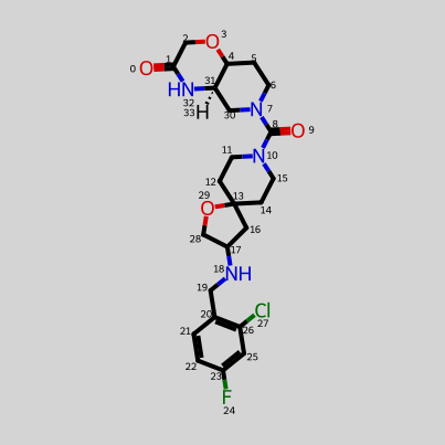 O=C1COC2CCN(C(=O)N3CCC4(CC3)CC(NCc3ccc(F)cc3Cl)CO4)C[C@H]2N1